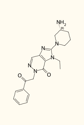 CCn1c(N2CCC[C@@H](N)C2)nc2cnn(CC(=O)c3ccccc3)c(=O)c21